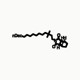 CCCCCCCCCCCCCCCCCCC(C)(C)CCN1C(=O)[C@@H]2[C@H]3CCC(O3)[C@@H]2C1=O